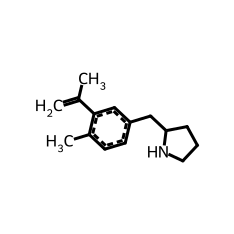 C=C(C)c1cc(CC2CCCN2)ccc1C